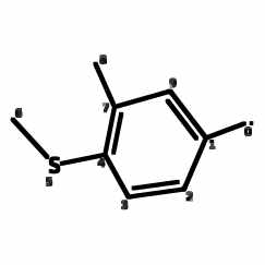 [CH2]c1ccc(SC)c(C)c1